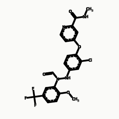 CNC(=O)c1cc(Oc2ccc(NN(C=O)c3cc(C(F)(F)F)ccc3OC)cc2Cl)ccn1